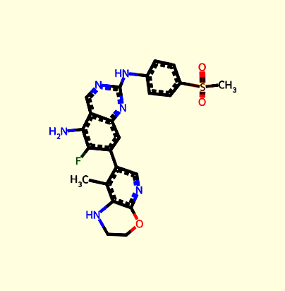 Cc1c(-c2cc3nc(Nc4ccc(S(C)(=O)=O)cc4)ncc3c(N)c2F)cnc2c1NCCO2